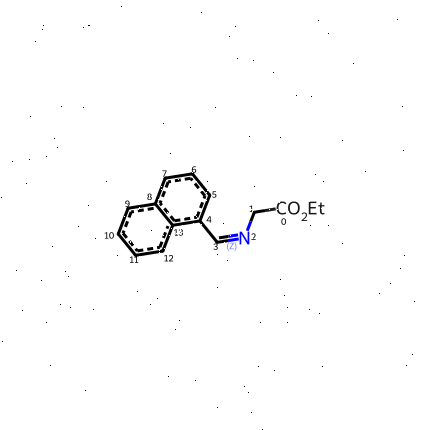 CCOC(=O)C/N=C\c1cccc2ccccc12